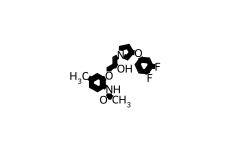 CC(=O)Nc1ccc(C)cc1OCC(O)CN1CCC(Oc2ccc(F)c(F)c2)C1